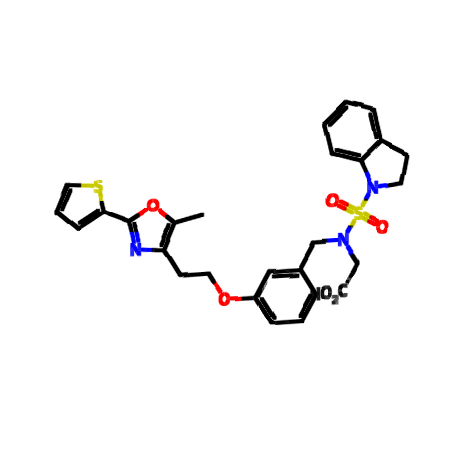 Cc1oc(-c2cccs2)nc1CCOc1cccc(CN(CC(=O)O)S(=O)(=O)N2CCc3ccccc32)c1